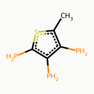 Cc1sc(P)c(P)c1P